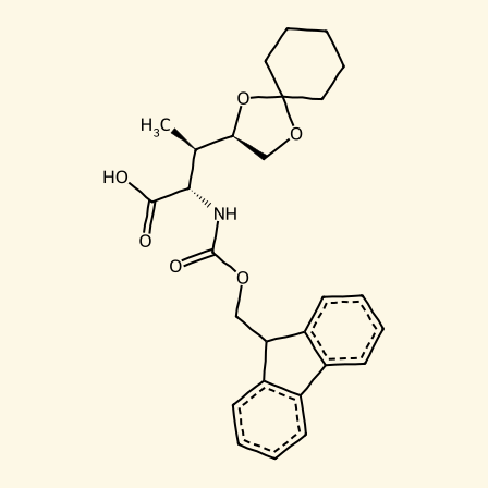 C[C@@H]([C@@H]1COC2(CCCCC2)O1)[C@H](NC(=O)OCC1c2ccccc2-c2ccccc21)C(=O)O